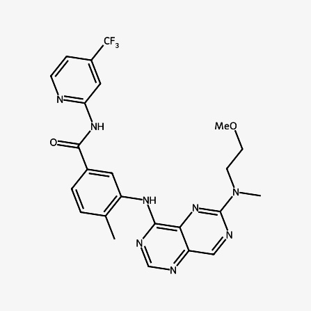 COCCN(C)c1ncc2ncnc(Nc3cc(C(=O)Nc4cc(C(F)(F)F)ccn4)ccc3C)c2n1